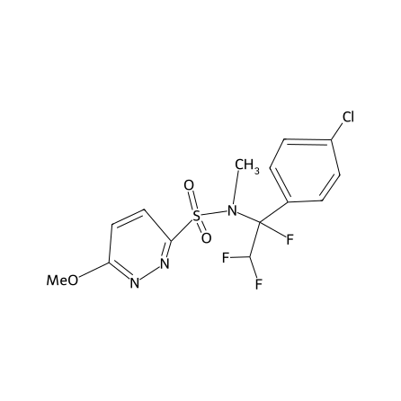 COc1ccc(S(=O)(=O)N(C)C(F)(c2ccc(Cl)cc2)C(F)F)nn1